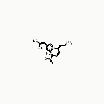 C=C(/C=C\C(=C/CC)n1ccc(C=C(C)C)n1)[N+](=O)[O-]